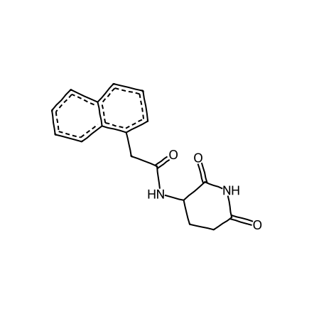 O=C1CCC(NC(=O)Cc2cccc3ccccc23)C(=O)N1